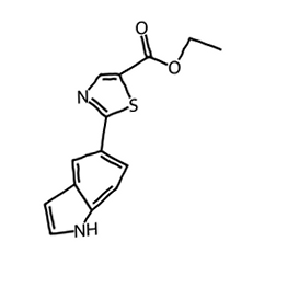 CCOC(=O)c1cnc(-c2ccc3[nH]ccc3c2)s1